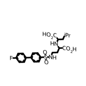 CC(C)CC(NC(CCNS(=O)(=O)c1ccc(-c2ccc(F)cc2)cc1)C(=O)O)C(=O)O